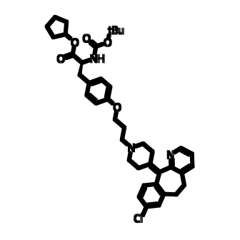 CC(C)(C)OC(=O)N[C@@H](Cc1ccc(OCCCN2CCC(=C3c4ccc(Cl)cc4CCc4cccnc43)CC2)cc1)C(=O)OC1CCCC1